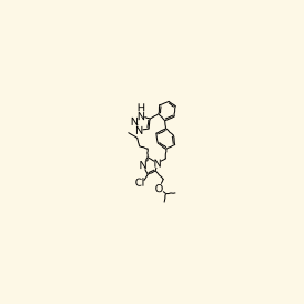 CCCCc1nc(Cl)c(COC(C)C)n1Cc1ccc(-c2ccccc2-c2cnn[nH]2)cc1